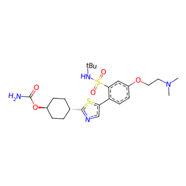 CN(C)CCOc1ccc(-c2cnc([C@H]3CC[C@H](OC(N)=O)CC3)s2)c(S(=O)(=O)NC(C)(C)C)c1